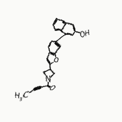 CC#CC(=O)N1CC(c2cc3ccc(-c4cc(O)cc5ccccc45)cc3o2)C1